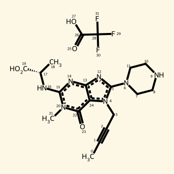 CC#CCn1c(N2CCNCC2)nc2nc(N[C@@H](C)C(=O)O)n(C)c(=O)c21.O=C(O)C(F)(F)F